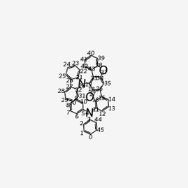 c1ccc(N(c2ccccc2)c2cccc3c2oc2c(-n4c5ccccc5c5ccccc54)c4c(cc23)oc2ccccc24)cc1